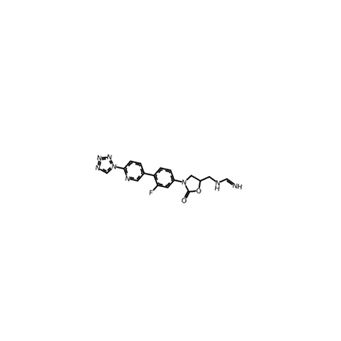 N=CNCC1CN(c2ccc(-c3ccc(-n4cnnn4)nc3)c(F)c2)C(=O)O1